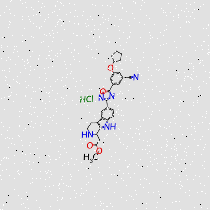 COC(=O)CC1NCCc2c1[nH]c1ccc(-c3noc(-c4cc(C#N)cc(OC5CCCC5)c4)n3)cc21.Cl